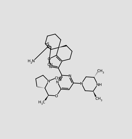 C[C@H](Oc1cc(N2C[C@H](C)N[C@@H](C)C2)nc(-c2noc3c2CCC[C@@]32CCCc3sc(N)c(C#N)c32)n1)[C@@H]1CCCN1C